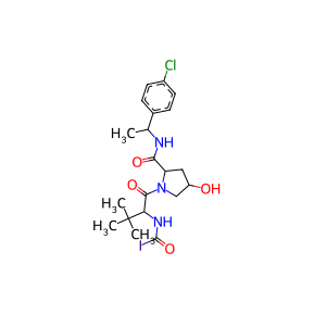 CC(NC(=O)C1CC(O)CN1C(=O)C(NC(=O)I)C(C)(C)C)c1ccc(Cl)cc1